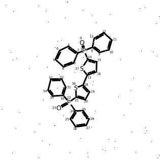 O=P(c1ccccc1)(c1ccccc1)c1ccc(-c2ccc(P(=O)(c3ccccc3)c3ccccc3)s2)s1